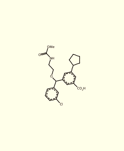 COC(=O)NCCOC(c1cccc(Cl)c1)c1cc(C(=O)O)cc(C2CCCC2)c1